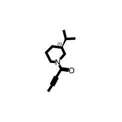 CC#CC(=O)N1CCC[C@@H](C(C)C)C1